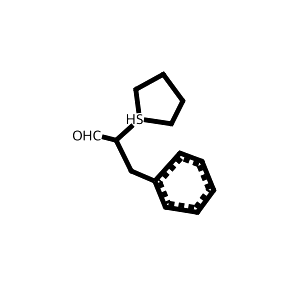 O=CC(Cc1ccccc1)[SH]1CCCC1